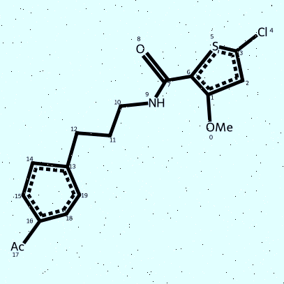 COc1cc(Cl)sc1C(=O)NCCCc1ccc(C(C)=O)cc1